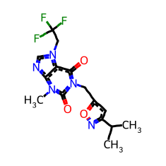 CC(C)c1cc(Cn2c(=O)c3c(ncn3CC(F)(F)F)n(C)c2=O)on1